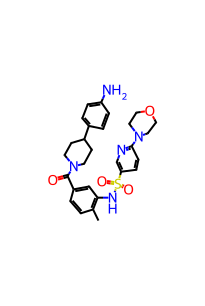 Cc1ccc(C(=O)N2CCC(c3ccc(N)cc3)CC2)cc1NS(=O)(=O)c1ccc(N2CCOCC2)nc1